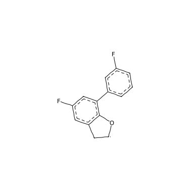 Fc1cccc(-c2cc(F)cc3c2O[CH]C3)c1